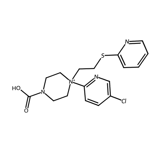 O=C(O)N1CC[N+](CCSc2ccccn2)(c2ccc(Cl)cn2)CC1